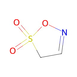 O=S1(=O)CC=NO1